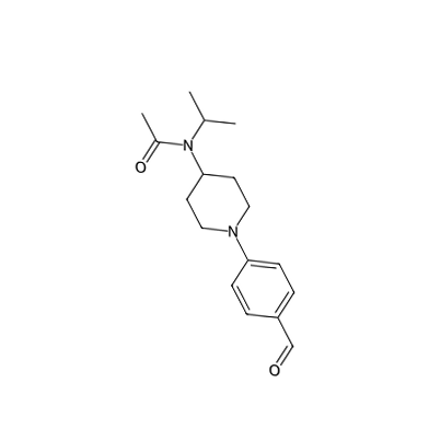 CC(=O)N(C(C)C)C1CCN(c2ccc(C=O)cc2)CC1